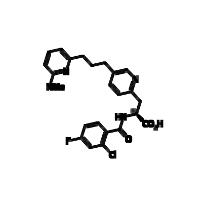 CNc1cccc(CCCc2ccc(C[C@H](NC(=O)c3ccc(F)cc3Cl)C(=O)O)nc2)n1